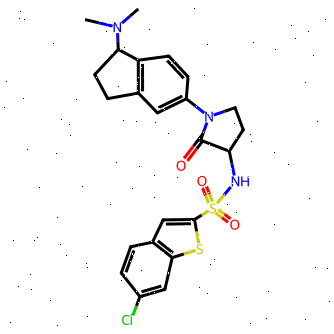 CN(C)C1CCc2cc(N3CCC(NS(=O)(=O)c4cc5ccc(Cl)cc5s4)C3=O)ccc21